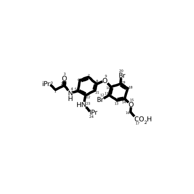 CC(C)CC(=O)Nc1ccc(Oc2c(Br)cc(OCC(=O)O)cc2Br)cc1NC(C)C